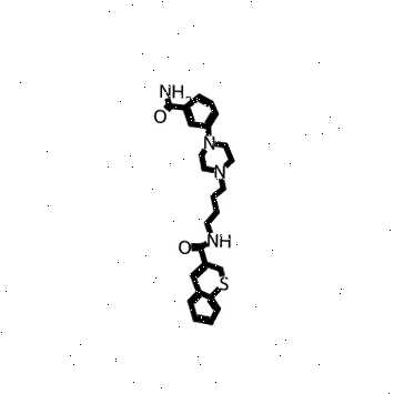 NC(=O)c1cccc(N2CCN(CCCCNC(=O)C3=Cc4ccccc4SC3)CC2)c1